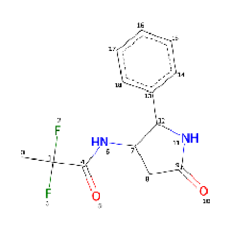 CC(F)(F)C(=O)NC1CC(=O)NC1c1ccccc1